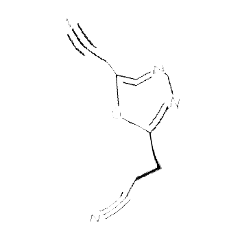 N#CCc1nnc(C#N)o1